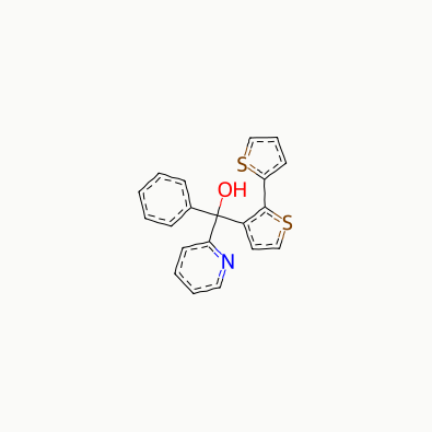 OC(c1ccccc1)(c1ccccn1)c1ccsc1-c1cccs1